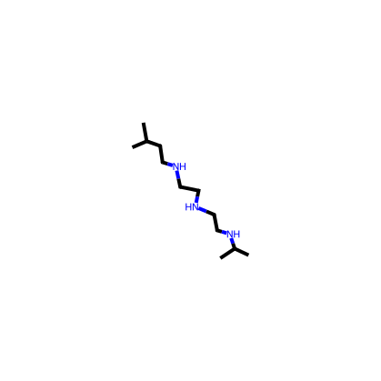 CC(C)CCNCCNCCNC(C)C